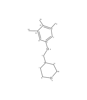 Cc1cc(OCC2CCOCC2)cc(C)c1C